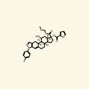 COCSC(=O)[C@@]1(OC(=O)c2ccco2)CC[C@H]2[C@@H]3CCC4=Cc5c(cnn5-c5ccc(F)cc5)C[C@]4(C)[C@H]3[C@@H](O)C[C@@]21C